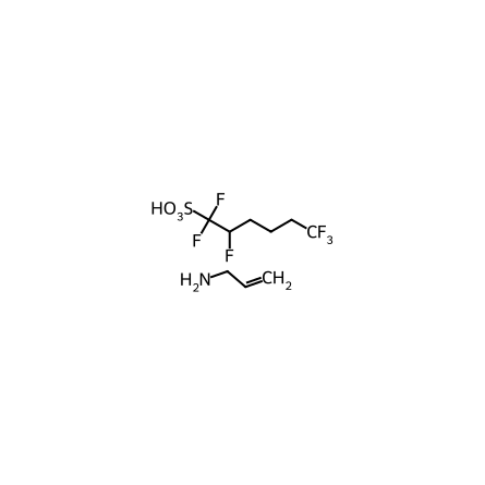 C=CCN.O=S(=O)(O)C(F)(F)C(F)CCCC(F)(F)F